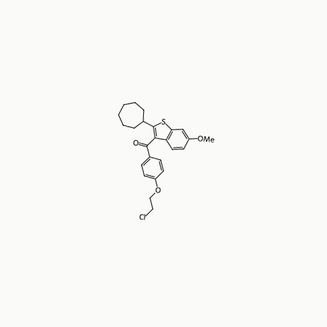 COc1ccc2c(C(=O)c3ccc(OCCCl)cc3)c(C3CCCCCC3)sc2c1